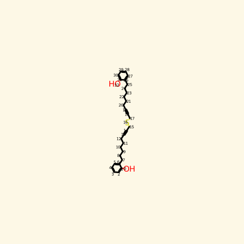 Oc1ccccc1CCCCCCC#CCSCC#CCCCCCCc1ccccc1O